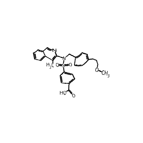 COCc1ccc(CN(c2ncc3ccccc3c2C)S(=O)(=O)c2ccc(C(=O)O)cc2)cc1